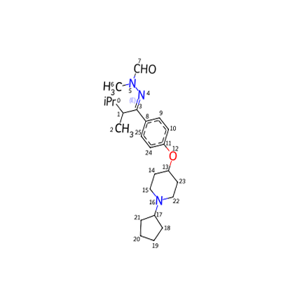 CC(C)C(C)/C(=N\N(C)C=O)c1ccc(OC2CCN(C3CCCC3)CC2)cc1